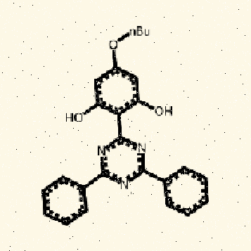 CCCCOc1cc(O)c(-c2nc(-c3ccccc3)nc(-c3ccccc3)n2)c(O)c1